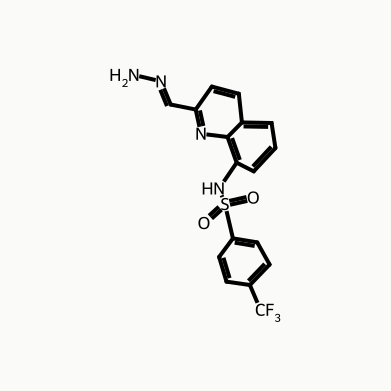 N/N=C/c1ccc2cccc(NS(=O)(=O)c3ccc(C(F)(F)F)cc3)c2n1